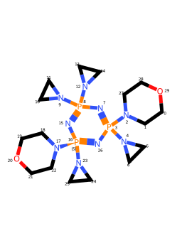 C1CN(P2(N3CC3)=NP(N3CC3)(N3CC3)=N[P@@](N3CCOCC3)(N3CC3)=N2)CCO1